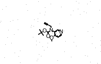 C#CCN(C(=O)OC(C)(C)C)c1cnccc1OC